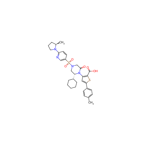 Cc1ccc(-c2cc(N3C(=O)CN(S(=O)(=O)c4ccc(N5CCC[C@H]5C)nc4)C[C@H]3C3CCCCC3)c(C(=O)O)s2)cc1